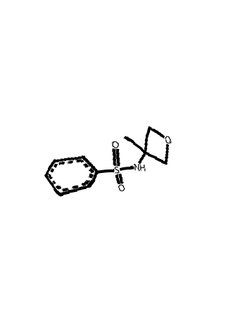 CC1(NS(=O)(=O)c2ccccc2)COC1